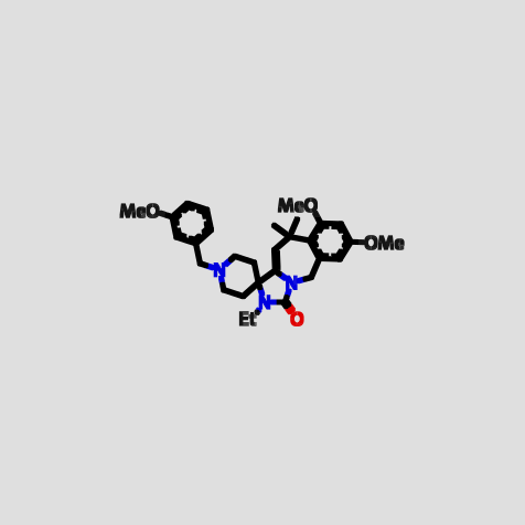 CCN1C(=O)N2Cc3cc(OC)cc(OC)c3C(C)(C)C=C2C12CCN(Cc1cccc(OC)c1)CC2